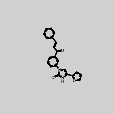 O=C(/C=C/c1ccccc1)c1cccc(-n2cc(-c3ccco3)[nH]c2=O)c1